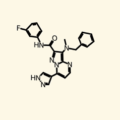 CN(Cc1ccccc1)c1c(C(=O)Nc2cccc(F)c2)nn2c(-c3cn[nH]c3)ccnc12